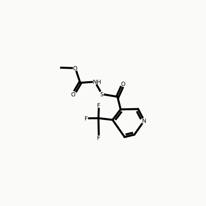 COC(=O)NSC(=O)c1cnccc1C(F)(F)F